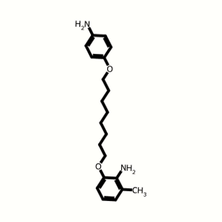 Cc1cccc(OCCCCCCCCOc2ccc(N)cc2)c1N